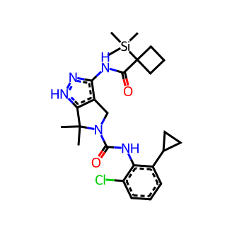 CC1(C)c2[nH]nc(NC(=O)C3([Si](C)(C)C)CCC3)c2CN1C(=O)Nc1c(Cl)cccc1C1CC1